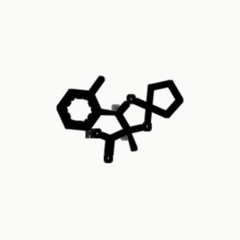 Cc1ccccc1[C@H]1OC2(CCCC2)O[C@]1(C)C(=O)O